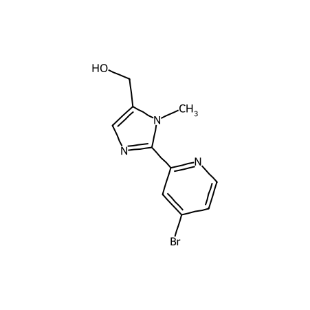 Cn1c(CO)cnc1-c1cc(Br)ccn1